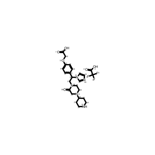 O=C(O)C(F)(F)F.O=C(O)COc1ccc(C(CN2CCN(C3CCNCC3)CC2=O)n2ccnc2)cc1